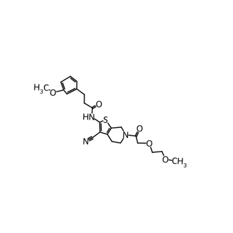 COCCOCC(=O)N1CCc2c(sc(NC(=O)CCc3cccc(OC)c3)c2C#N)C1